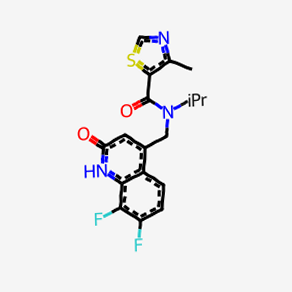 Cc1ncsc1C(=O)N(Cc1cc(=O)[nH]c2c(F)c(F)ccc12)C(C)C